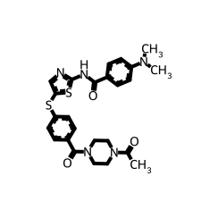 CC(=O)N1CCN(C(=O)c2ccc(Sc3cnc(NC(=O)c4ccc(N(C)C)cc4)s3)cc2)CC1